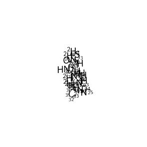 [2H]C1([2H])CSC([2H])([2H])N1C(=O)[C@@H]1C[C@H](N2C([2H])([2H])C([2H])([2H])N(c3cc(C)nn3-c3ccccc3)C([2H])([2H])C2([2H])[2H])CN1